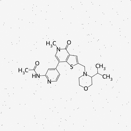 CC(=O)Nc1cc(-c2cn(C)c(=O)c3cc(CN4CCOCC4C(C)C)sc23)ccn1